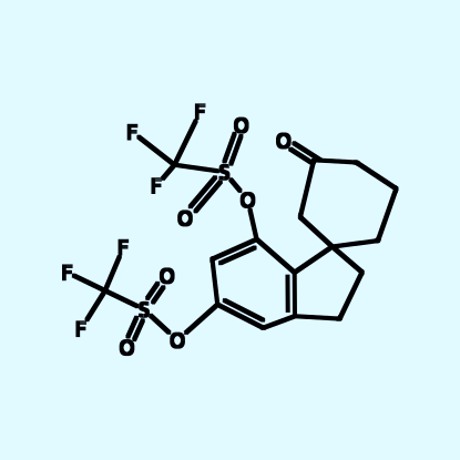 O=C1CCCC2(CCc3cc(OS(=O)(=O)C(F)(F)F)cc(OS(=O)(=O)C(F)(F)F)c32)C1